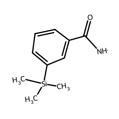 C[Si](C)(C)c1cccc(C([NH])=O)c1